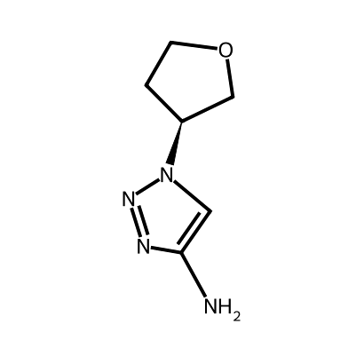 Nc1cn([C@H]2CCOC2)nn1